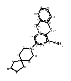 Nc1nc(N2CCC3(CCCC3)CC2)cnc1Sc1cccnc1Cl